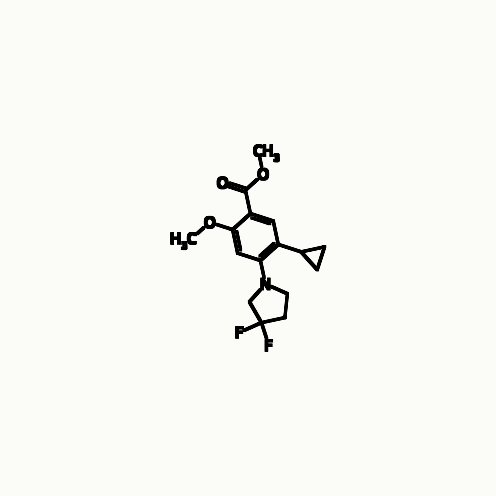 COC(=O)c1cc(C2CC2)c(N2CCC(F)(F)C2)cc1OC